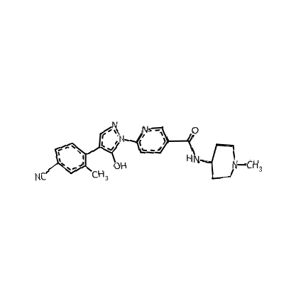 Cc1cc(C#N)ccc1-c1cnn(-c2ccc(C(=O)NC3CCN(C)CC3)cn2)c1O